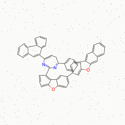 C1=C(c2cc3ccccc3c3ccccc23)N=C(c2cccc3oc4ccc(-c5ccc6c(c5)oc5cc7ccccc7cc56)cc4c23)N=C(c2ccccc2)C1